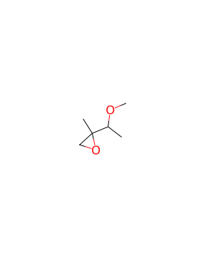 COC(C)C1(C)CO1